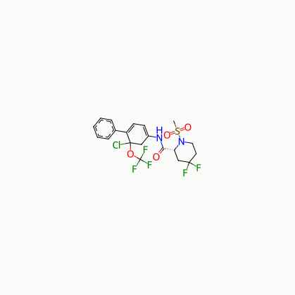 CS(=O)(=O)N1CCC(F)(F)C[C@@H]1C(=O)NC1=CC=C(c2ccccc2)C(Cl)(OC(F)(F)F)C1